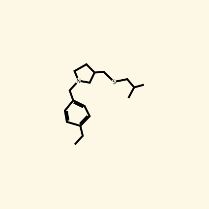 CCc1ccc(CN2CCC(CSCC(C)C)C2)cc1